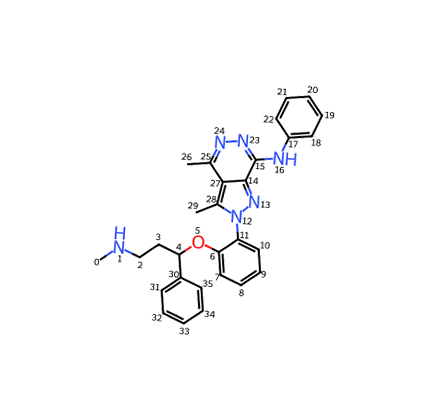 CNCCC(Oc1ccccc1-n1nc2c(Nc3ccccc3)nnc(C)c2c1C)c1ccccc1